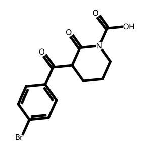 O=C(c1ccc(Br)cc1)C1CCCN(C(=O)O)C1=O